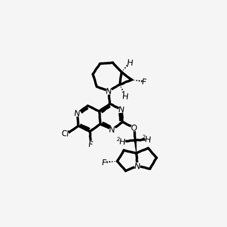 [2H]C([2H])(Oc1nc(N2CCCC[C@H]3[C@H](F)[C@H]32)c2cnc(Cl)c(F)c2n1)[C@@]12CCCN1C[C@H](F)C2